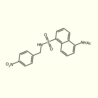 CC(=O)Nc1cccc2c(S(=O)(=O)NCc3ccc([N+](=O)[O-])cc3)cccc12